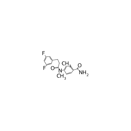 C[C@@H](Cc1cc(F)cc(F)c1)C(=O)N(C)c1ccc(C(N)=O)cc1